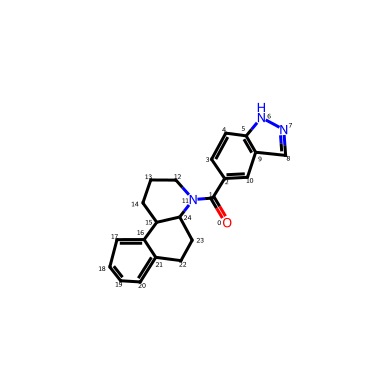 O=C(c1ccc2[nH]ncc2c1)N1CCCC2c3ccccc3CCC21